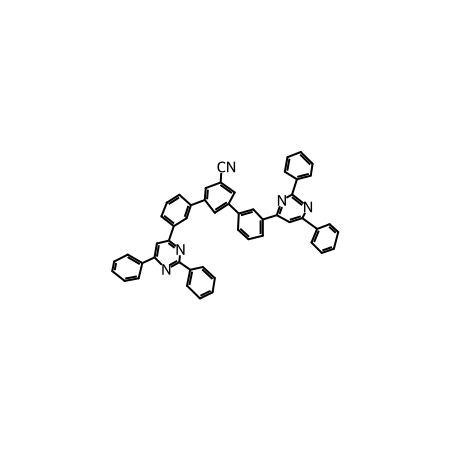 N#Cc1cc(-c2cccc(-c3cc(-c4ccccc4)nc(-c4ccccc4)n3)c2)cc(-c2cccc(-c3cc(-c4ccccc4)nc(-c4ccccc4)n3)c2)c1